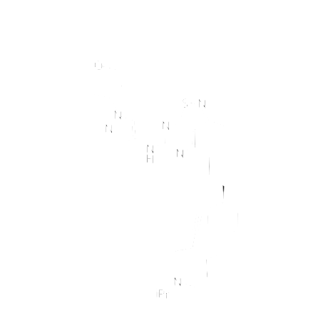 C#CC1CCN(C(C)C)CCC1C[C@H]1CC[C@H](CCCc2nc(Nc3cnn(C4CCOCC4)c3)nc3snc(C)c23)CC1